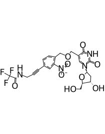 O=C(NCC#Cc1ccc(COCc2cn([C@H]3C[C@H](O)[C@@H](CO)O3)c(=O)[nH]c2=O)c([N+](=O)[O-])c1)C(F)(F)F